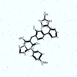 CCCc1c(Cc2ccc(-c3ccccc3C3=NOC(O)N3)cc2F)c(=O)n(-c2ccc(OC)cc2)c2ncnn12